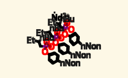 CCCCCCCCCc1ccc(OP(=O)([O-])CC(CC)CCCC)cc1.CCCCCCCCCc1ccc(OP(=O)([O-])CC(CC)CCCC)cc1.CCCCCCCCCc1ccc(OP(=O)([O-])CC(CC)CCCC)cc1.[Nd+3]